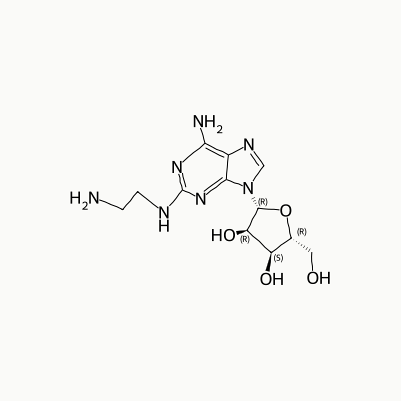 NCCNc1nc(N)c2ncn([C@@H]3O[C@H](CO)[C@@H](O)[C@H]3O)c2n1